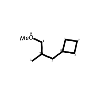 COCC(C)[CH]C1CCC1